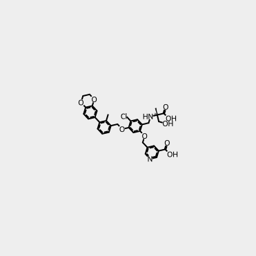 Cc1c(COc2cc(OCc3cncc(C(=O)O)c3)c(CN[C@@](C)(CO)C(=O)O)cc2Cl)cccc1-c1ccc2c(c1)OCCO2